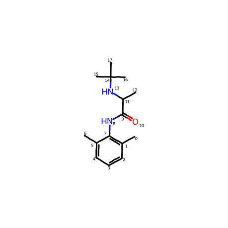 Cc1cccc(C)c1NC(=O)C(C)NC(C)(C)C